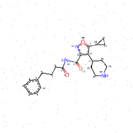 O=C(CCCc1ccccc1)NC(=O)c1noc(C2CC2)c1C1CCNCC1